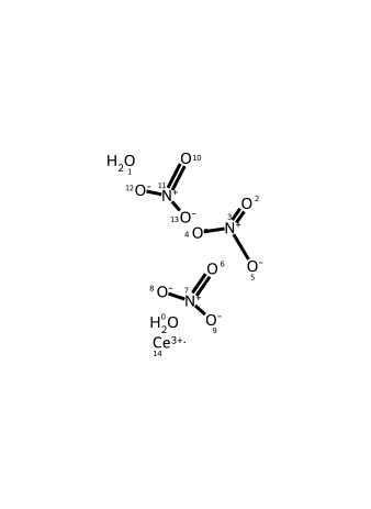 O.O.O=[N+]([O-])[O-].O=[N+]([O-])[O-].O=[N+]([O-])[O-].[Ce+3]